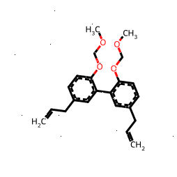 C=CCc1ccc(OCOC)c(-c2cc(CC=C)ccc2OCOC)c1